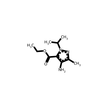 CCOC(=O)c1c(N)c(C)nn1C(C)C